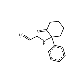 C=CCNC1(c2ccccc2)CCCCC1=O